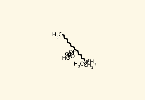 CCCCCCCCCCCCCC[N+](C)(C)C.O=P([O-])(O)O